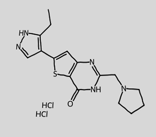 CCc1[nH]ncc1-c1cc2nc(CN3CCCC3)[nH]c(=O)c2s1.Cl.Cl